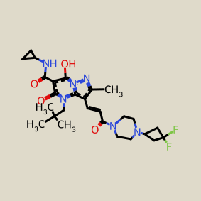 Cc1nn2c(O)c(C(=O)NC3CC3)c(=O)n(CC(C)(C)C)c2c1C=CC(=O)N1CCN(C2CC(F)(F)C2)CC1